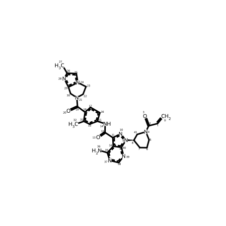 C=CC(=O)N1CCC[C@@H](n2nc(C(=O)Nc3ccc(C(=O)N4CCn5cc(C)nc5C4)c(C)c3)c3c(N)ncnc32)C1